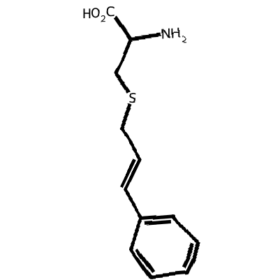 NC(CSCC=Cc1ccccc1)C(=O)O